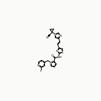 N#CC1(n2cnc(/C=C/c3csc(NC(=O)c4cccn4Cc4ccnc(F)c4)n3)c2)CC1